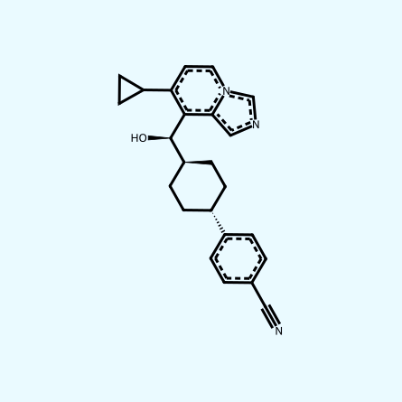 N#Cc1ccc([C@H]2CC[C@H]([C@@H](O)c3c(C4CC4)ccn4cncc34)CC2)cc1